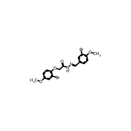 COc1ccc(OCC(=O)N/N=C/c2ccc(OC)c(Br)c2)c(Br)c1